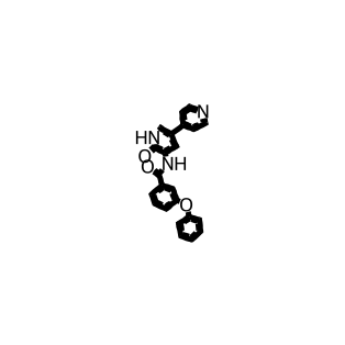 O=C(Nc1cc(-c2ccncc2)c[nH]c1=O)c1cccc(Oc2ccccc2)c1